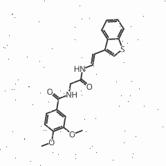 COc1ccc(C(=O)NCC(=O)N/C=C/c2csc3ccccc23)cc1OC